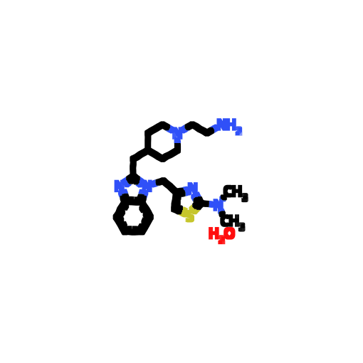 CN(C)c1nc(Cn2c(CC3CCN(CCN)CC3)nc3ccccc32)cs1.O